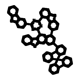 c1cc(-c2ccc3oc4cccc(-c5nc(-c6ccc7oc8ccccc8c7c6)nc(-c6cccc7oc8ccccc8c67)n5)c4c3c2)cc(-c2cccc3c2-c2ccccc2C32c3ccccc3-c3ccccc32)c1